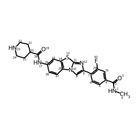 CNC(=O)c1ccc(-c2cn3c(n2)sc2cc(NC(=O)C4CCNCC4)ccc23)c(F)c1